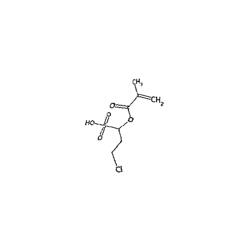 C=C(C)C(=O)OC(CCCl)S(=O)(=O)O